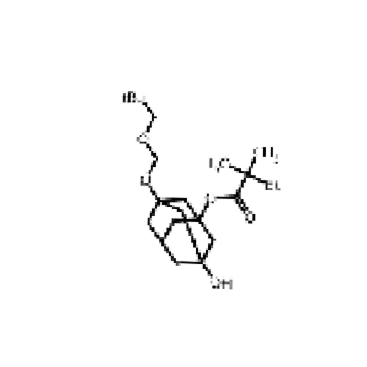 CCC(C)(C)C(=O)OC12CC3CC(O)(CC(OCOCC(C)(C)C)(C3)C1)C2